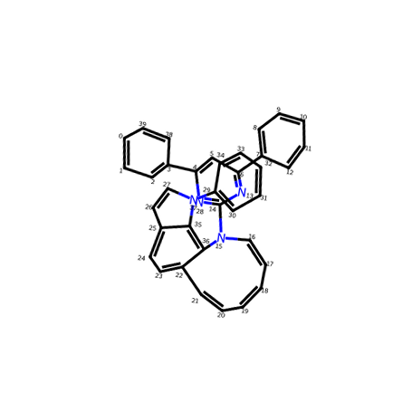 c1ccc(-c2cc(-c3ccccc3)nc(-n3ccccccc4ccc5ccn(-c6ccccc6)c5c43)n2)cc1